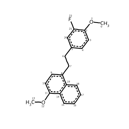 COc1ccc(CCc2ccc(OC)c3ccccc23)cc1F